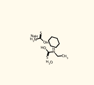 C1CCCCC1.CCNC(O)=S.NC(O)=S.O.[NaH]